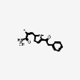 O=C(Cc1ccccc1)C1=CCC(/C=C(/F)C(=O)NO)N1